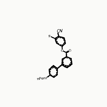 CCCCCc1ccc(-c2cccc(C(=O)Oc3ccc(C#N)c(F)c3)c2)cc1